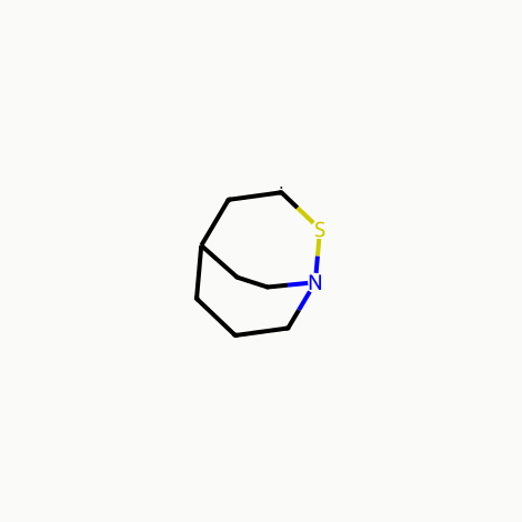 [CH]1CC2CCCN(CC2)S1